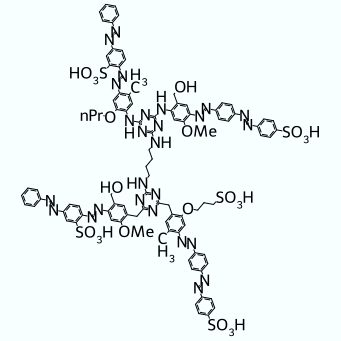 CCCOc1cc(N=Nc2ccc(N=Nc3ccccc3)cc2S(=O)(=O)O)c(C)cc1Nc1nc(NCCCCNc2nc(Cc3cc(CO)c(N=Nc4ccc(N=Nc5ccccc5)cc4S(=O)(=O)O)cc3OC)nc(Cc3cc(C)c(N=Nc4ccc(N=Nc5ccc(S(=O)(=O)O)cc5)cc4)cc3OCCCS(=O)(=O)O)n2)nc(Nc2cc(OC)c(N=Nc3ccc(N=Nc4ccc(S(=O)(=O)O)cc4)cc3)cc2CO)n1